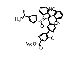 COC(=O)c1ccc(-c2cccc(-c3c(-c4c(C#N)cccc4C#N)c4ccccc4n3[S+]([O-])c3ccc(C(F)P)cc3)c2)c(Cl)c1